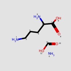 N.NCCCC(N)C(=O)O.O=CO